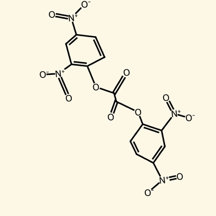 O=C(Oc1ccc([N+](=O)[O-])cc1[N+](=O)[O-])C(=O)Oc1ccc([N+](=O)[O-])cc1[N+](=O)[O-]